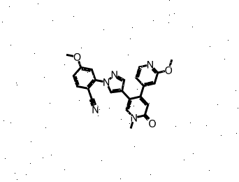 COc1ccc(C#N)c(-n2cc(-c3cn(C)c(=O)cc3-c3ccnc(OC)c3)cn2)c1